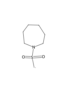 [CH2]S(=O)(=O)N1CCCCCC1